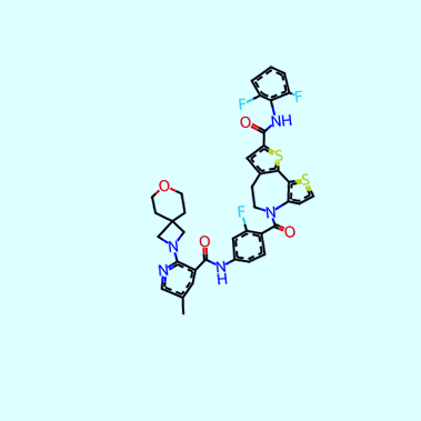 Cc1cnc(N2CC3(CCOCC3)C2)c(C(=O)Nc2ccc(C(=O)N3CCc4cc(C(=O)Nc5c(F)cccc5F)sc4-c4sccc43)c(F)c2)c1